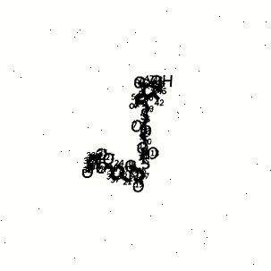 CC1=C(CSCC(=O)OCCOC(=O)CSC2CC(=O)N(CC3CCC(C(=O)ON4C(=O)CCC4=O)CC3)C2=O)C2=C(C)C3(CC3)[C@@](C)(O)C(=O)C2=C1